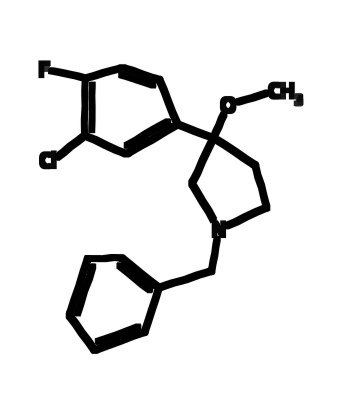 COC1(c2ccc(F)c(Cl)c2)CCN(Cc2ccccc2)C1